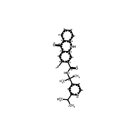 CC(C)c1cc(C(C)(C)NC(=O)c2cc3[nH]c4ccccc4c(=O)c3cc2F)ccn1